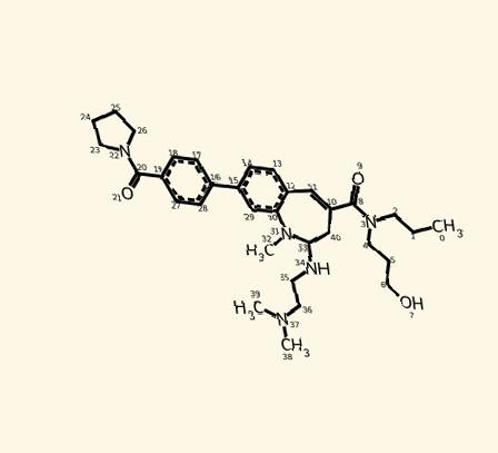 CCCN(CCCO)C(=O)C1=Cc2ccc(-c3ccc(C(=O)N4CCCC4)cc3)cc2N(C)C(NCCN(C)C)C1